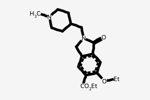 CCOC(=O)c1cc2c(cc1OCC)C(=O)N(CC1CCN(C)CC1)C2